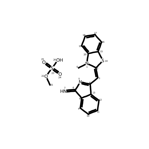 CN1C(=CC2=NC(=N)c3ccccc32)Sc2ccccc21.COS(=O)(=O)O